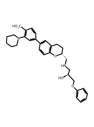 O=C(O)c1ccc(-c2ccc3c(c2)CC[C@H](CNC[C@H](O)COc2ccccc2)O3)cc1N1CCCCC1